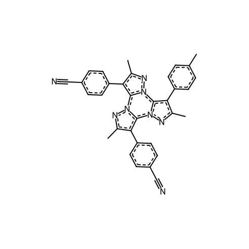 Cc1ccc(-c2c(C)nn3c2n2nc(C)c(-c4ccc(C#N)cc4)c2n2nc(C)c(-c4ccc(C#N)cc4)c32)cc1